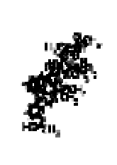 CCC(C)C(C(=O)NC(Cc1ccccc1)C(O)CN(CCC(C)(C)C)NC(=O)CC(C)(C)CNC(=O)OC)N1CCN(Cc2cccc(CC(C)O)n2)C1=O